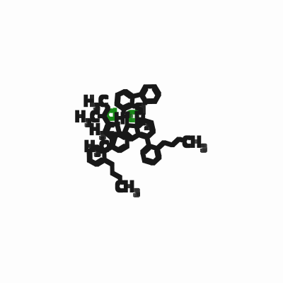 CCCCc1ccccc1-c1cccc2c1C=C(C(C)CC)[CH]2[Hf]([Cl])([Cl])([c]1cccc2c1[SiH2]c1ccccc1-2)[CH]1C(C(C)CC)=Cc2c(-c3ccccc3CCCC)cccc21